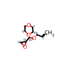 C1COCCO1.C=CCOCC1CO1